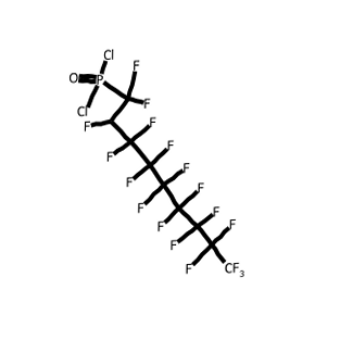 O=P(Cl)(Cl)C(F)(F)C(F)C(F)(F)C(F)(F)C(F)(F)C(F)(F)C(F)(F)C(F)(F)C(F)(F)F